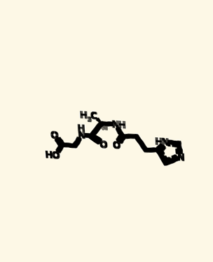 C[C@H](NC(=O)CCc1cnc[nH]1)C(=O)NCC(=O)O